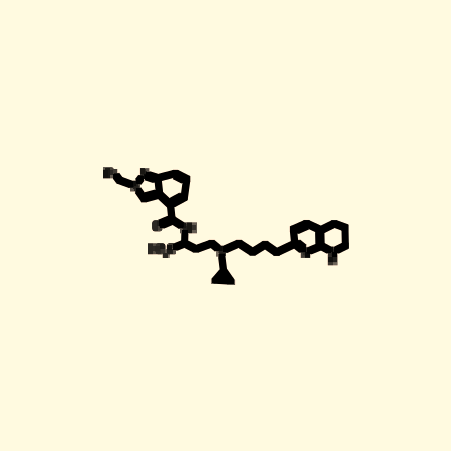 CC(C)Cn1cc2c(C(=O)NC(CCN(CCCCc3ccc4c(n3)NCCC4)C3CC3)C(=O)O)cccc2n1